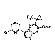 COc1cc2ncc(-c3cccc(Br)n3)n2nc1C1(C(F)(F)F)CC1